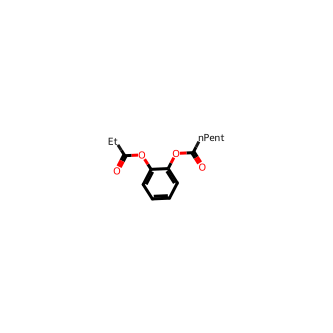 CCCCCC(=O)Oc1ccccc1OC(=O)CC